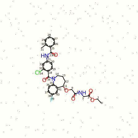 CCOC(=O)CNC(=O)COC1CCCN(C(=O)c2ccc(NC(=O)c3ccccc3C)cc2Cl)c2ccc(F)cc21